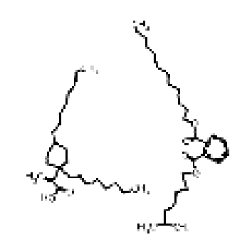 C=C(C(=O)O)C1(CCCCCCCC)CCC(CCCCCCCC)CC1.CCCCCCCCCCCCOC(=O)c1ccccc1C(=O)OCCCCCC(C)C